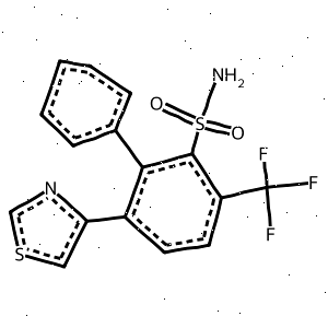 NS(=O)(=O)c1c(C(F)(F)F)ccc(-c2cscn2)c1-c1ccccc1